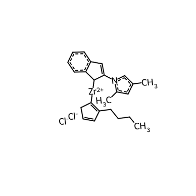 CCCCC1=[C]([Zr+2][CH]2C(n3cc(C)cc3C)=Cc3ccccc32)CC=C1.[Cl-].[Cl-]